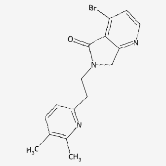 Cc1ccc(CCN2Cc3nccc(Br)c3C2=O)nc1C